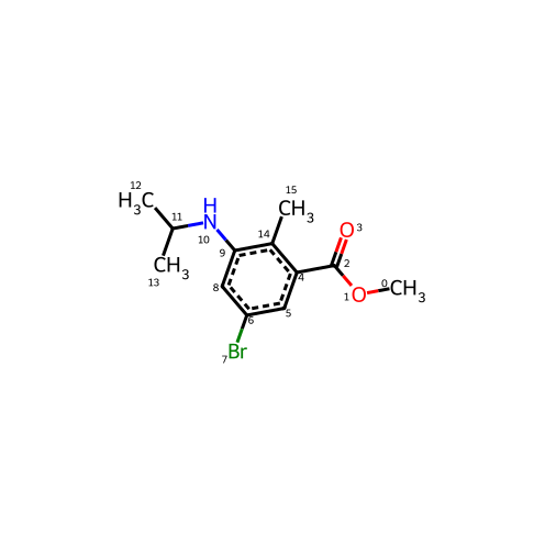 COC(=O)c1cc(Br)cc(NC(C)C)c1C